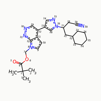 CC(C)(C)C(=O)OCn1ccc2c(-c3cnn(C(CC#N)CC4CCCCC4)c3)cnnc21